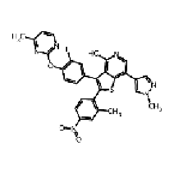 Cc1ccnc(Oc2ccc(-c3c(-c4ccc([N+](=O)[O-])cc4C)sc4c(-c5cnn(C)c5)cnc(O)c34)cc2F)n1